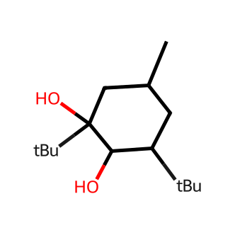 CC1CC(C(C)(C)C)C(O)C(O)(C(C)(C)C)C1